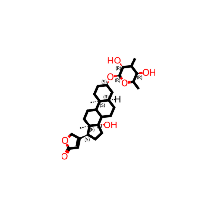 CC1O[C@@H](O[C@H]2CC[C@]3(C)C4CC[C@]5(C)[C@H](C6=CC(=O)OC6)CC[C@]5(O)C4CC[C@@H]3C2)[C@H](O)C(C)[C@H]1O